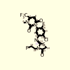 Cn1c(C(F)(F)F)cc(=O)n(-c2cc(/N=C3\SCC(=O)N3CCF)c(Cl)cc2F)c1=O